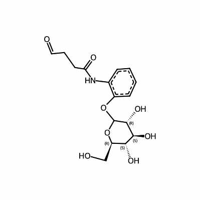 O=CCCC(=O)Nc1ccccc1OC1O[C@H](CO)[C@@H](O)[C@H](O)[C@H]1O